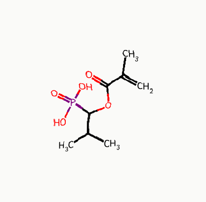 C=C(C)C(=O)OC(C(C)C)P(=O)(O)O